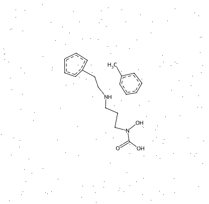 Cc1ccccc1.O=C(O)N(O)CCCNCCc1ccccc1